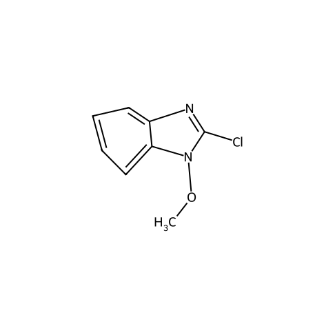 COn1c(Cl)nc2ccccc21